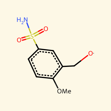 COc1ccc(S(N)(=O)=O)cc1C[O]